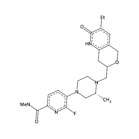 CCc1cc2c([nH]c1=O)CC(CN1CCN(c3ccc(C(=O)NC)nc3F)C[C@H]1C)OC2